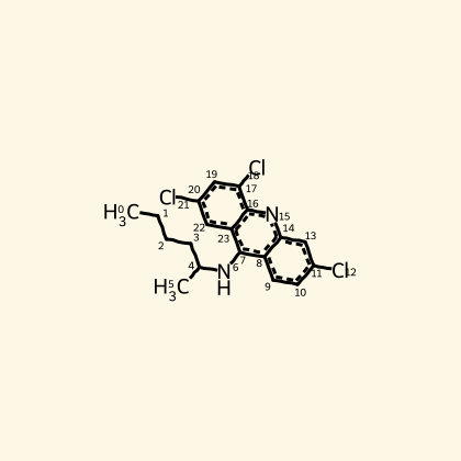 CCCCC(C)Nc1c2ccc(Cl)cc2nc2c(Cl)cc(Cl)cc12